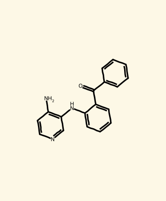 Nc1ccncc1Nc1ccccc1C(=O)c1ccccc1